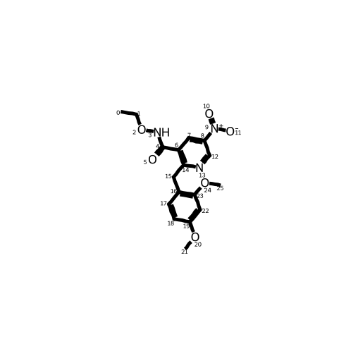 CCONC(=O)c1cc([N+](=O)[O-])cnc1Cc1ccc(OC)cc1OC